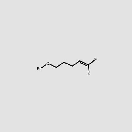 [CH2]COCCCC=C(F)F